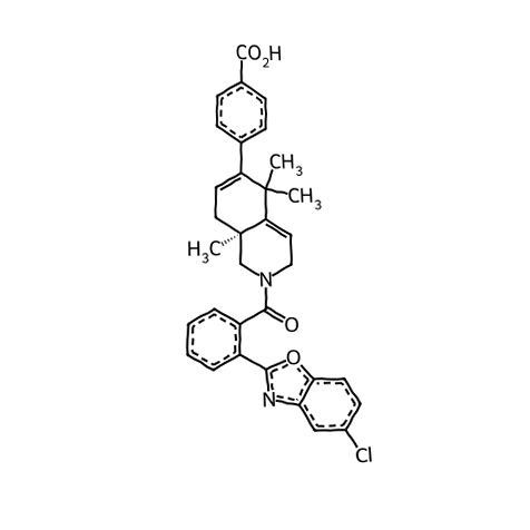 CC1(C)C(c2ccc(C(=O)O)cc2)=CC[C@]2(C)CN(C(=O)c3ccccc3-c3nc4cc(Cl)ccc4o3)CC=C12